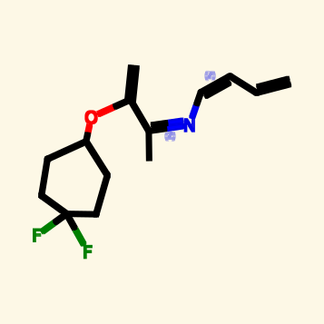 C=C/C=C\N=C(\C)C(=C)OC1CCC(F)(F)CC1